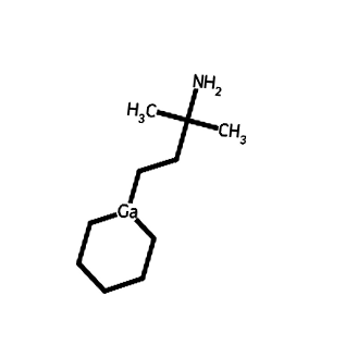 CC(C)(N)C[CH2][Ga]1[CH2]CCC[CH2]1